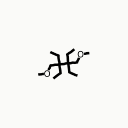 CCC(CC)(COC)C(CC)(CC)COC